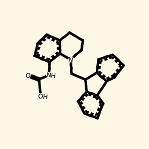 O=C(O)Nc1cccc2c1N(CC1c3ccccc3-c3ccccc31)CCC2